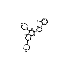 Fc1ccccc1-c1ccn(-c2nc(N3CCOCC3)c3ncc(C4CCOCC4)cc3n2)n1